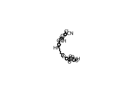 CC1(C)[C@H](NC(=O)c2ccc(NCCCCC3CCN(c4ccc5c(c4)C(=O)N(C4CCC(=O)NC4=O)C5=O)CC3)cc2)C(C)(C)[C@H]1Oc1ccc(C#N)c(Cl)c1